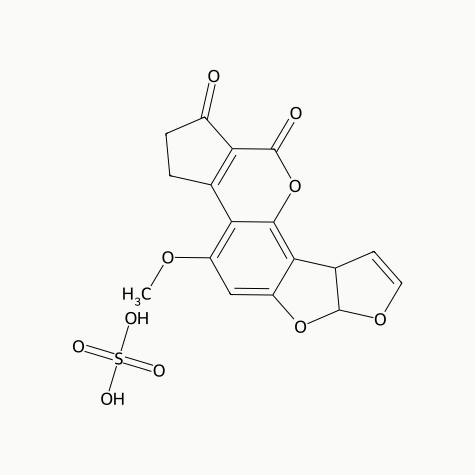 COc1cc2c(c3oc(=O)c4c(c13)CCC4=O)C1C=COC1O2.O=S(=O)(O)O